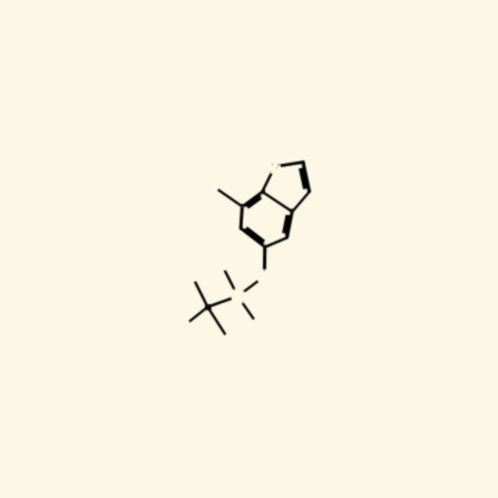 CC(C)(C)[Si](C)(C)Oc1cc(Br)c2[nH]ccc2c1